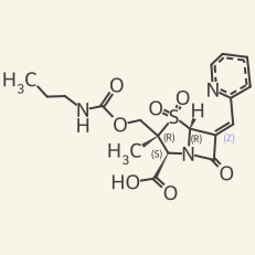 CCCNC(=O)OC[C@@]1(C)[C@H](C(=O)O)N2C(=O)/C(=C/c3ccccn3)[C@H]2S1(=O)=O